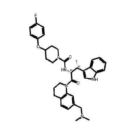 C[C@H](c1c[nH]c2ccccc12)[C@@H](NC(=O)N1CCC(Oc2ccc(F)cc2)CC1)C(=O)N1CCCc2ccc(CN(C)C)cc21